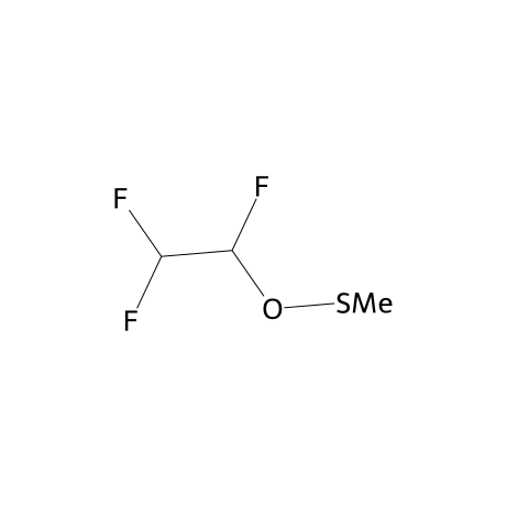 CSOC(F)C(F)F